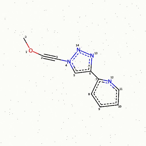 COC#Cn1cc(-c2ccccn2)nn1